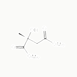 COC(=O)C[C@@](C)(O)C(=O)OC